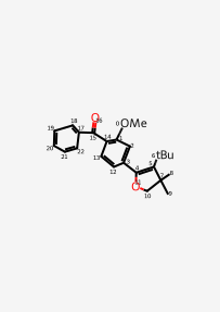 COc1cc(C2=C(C(C)(C)C)C(C)(C)CO2)ccc1C(=O)c1ccccc1